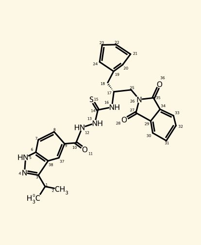 CC(C)c1n[nH]c2ccc(C(=O)NNC(=S)N[C@H](Cc3ccccc3)CN3C(=O)c4ccccc4C3=O)cc12